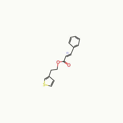 O=C(/C=C/c1ccccc1)OCCc1ccsc1